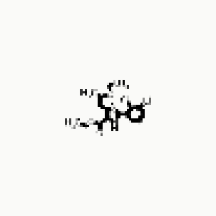 CCOC(=O)c1[nH]c(-c2cccc(Cl)c2Cl)nc1CC(C)OCC